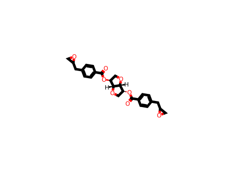 O=C(O[C@H]1CO[C@H]2[C@@H]1OC[C@H]2OC(=O)c1ccc(CC2CO2)cc1)c1ccc(CC2CO2)cc1